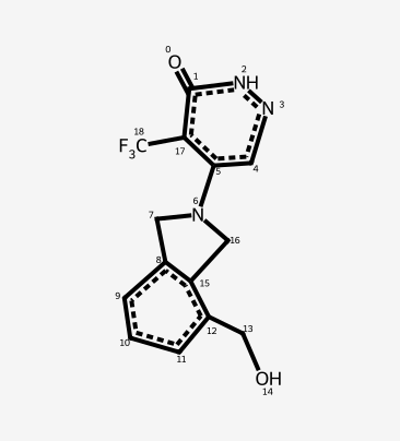 O=c1[nH]ncc(N2Cc3cccc(CO)c3C2)c1C(F)(F)F